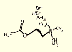 Br.CC(=O)OCC[N+](C)(C)C.P.[Br-]